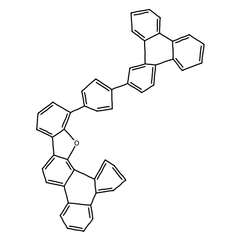 c1cc(-c2ccc(-c3ccc4c5ccccc5c5ccccc5c4c3)cc2)c2oc3c(ccc4c5ccccc5c5ccccc5c43)c2c1